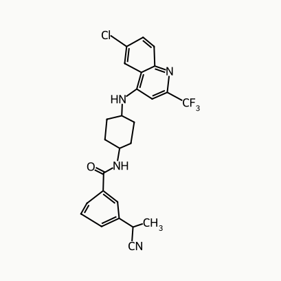 CC(C#N)c1cccc(C(=O)NC2CCC(Nc3cc(C(F)(F)F)nc4ccc(Cl)cc34)CC2)c1